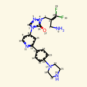 NCC(Cn1ncn(-c2ccnc(-c3ccc(N4CCNCC4)cc3)c2)c1=O)=C(F)F